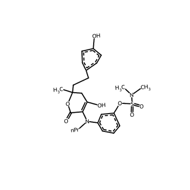 CCCN(C1=C(O)CC(C)(CCc2ccc(O)cc2)OC1=O)c1cccc(OS(=O)(=O)N(C)C)c1